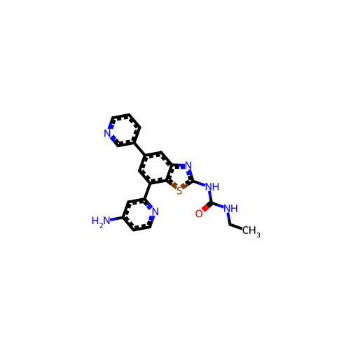 CCNC(=O)Nc1nc2cc(-c3cccnc3)cc(-c3cc(N)ccn3)c2s1